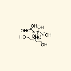 O=C[C@H](O)[C@@H](O)[C@H](O)[C@H](O)CO.OCCNCCO